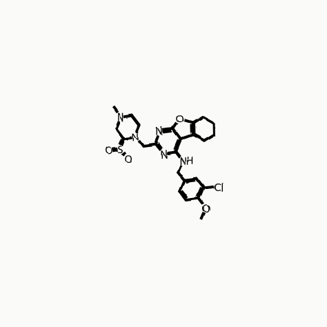 COc1ccc(CNc2nc(CN3CCN(C)CC3=S(=O)=O)nc3oc4c(c23)CCCC4)cc1Cl